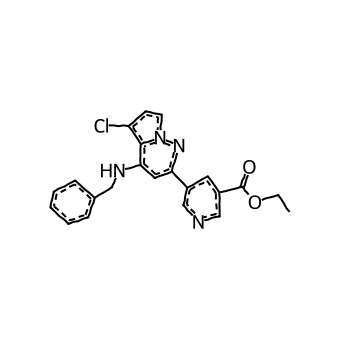 CCOC(=O)c1cncc(-c2cc(NCc3ccccc3)c3c(Cl)ccn3n2)c1